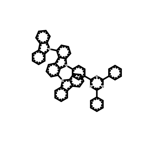 c1ccc(-c2nc(-c3ccccc3)nc(-c3ccc(-n4c5cccc(-n6c7ccccc7c7ccccc76)c5c5cccc(-n6c7ccccc7c7ccccc76)c54)cc3)n2)cc1